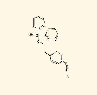 CC(C)(C)[Si](OCCc1ccc(N=C=S)cc1)(c1ccccc1)c1ccccc1